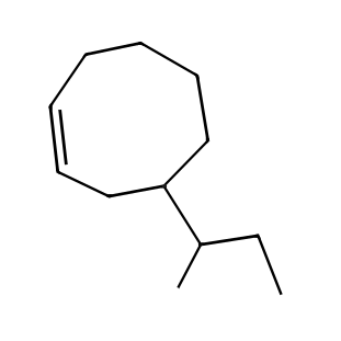 [CH2]CC(C)C1CC=CCCCC1